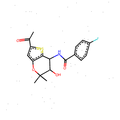 CC(=O)c1cc2c(s1)C(NC(=O)c1ccc(F)cc1)C(O)C(C)(C)O2